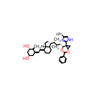 C=C1/C(=C\C=C2/CCC[C@]3(C)[C@@H]([C@H](C)CC[C@@H](OC(=O)c4ccccc4)C4(c5nc(CCC)c[nH]5)CC4)CC[C@@H]23)C[C@@H](O)C[C@@H]1O